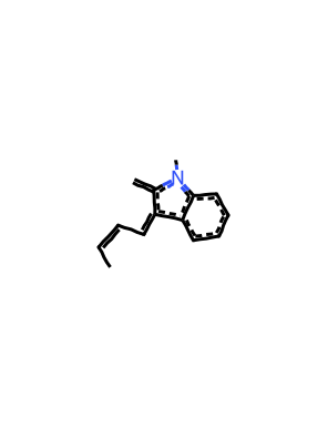 C=c1/c(=C\C=C/C)c2ccccc2n1C